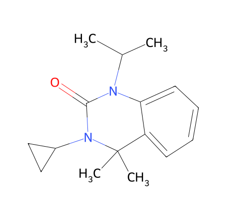 CC(C)N1C(=O)N(C2CC2)C(C)(C)c2ccccc21